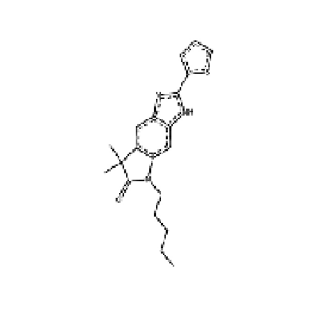 CCCCCN1C(=O)C(C)(C)c2cc3nc(-c4cccs4)[nH]c3cc21